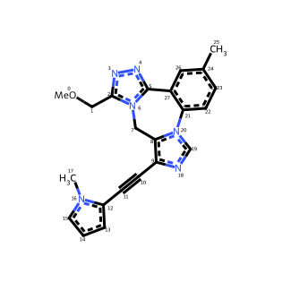 COCc1nnc2n1Cc1c(C#Cc3cccn3C)ncn1-c1ccc(C)cc1-2